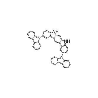 c1ccc2c(c1)c1ccccc1n2-c1ccc2[nH]c3cc4[nH]c5ccc(-n6c7ccccc7c7ccccc76)cc5c4cc3c2c1